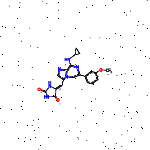 O=C1NC(=O)/C(=C/c2cnc3c(NC4CC4)nc(-c4cccc(OC(F)(F)F)c4)cn23)N1